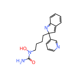 NC(=O)N(O)CCCCC1(c2cccnc2)C=c2ccccc2=N1